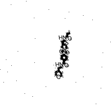 C=CC(=O)Nc1cc2c(s1)CN(S(=O)(=O)c1ccc(C(=O)NCCC3CCOCC3)cc1)C2